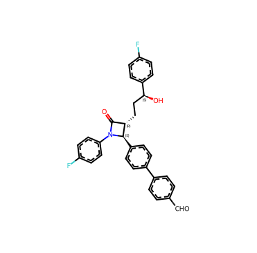 O=Cc1ccc(-c2ccc([C@@H]3[C@@H](CC[C@H](O)c4ccc(F)cc4)C(=O)N3c3ccc(F)cc3)cc2)cc1